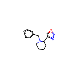 c1ccc(CN2CCCCC2c2conn2)cc1